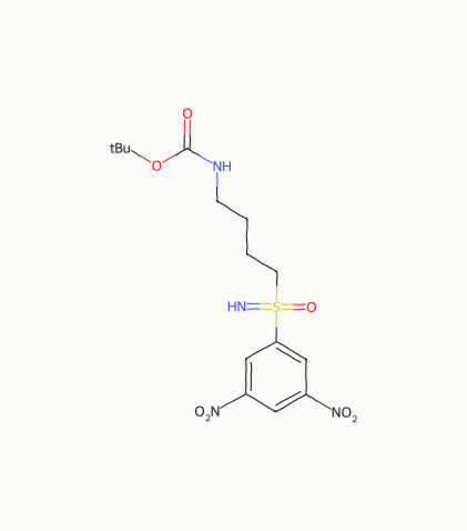 CC(C)(C)OC(=O)NCCCCS(=N)(=O)c1cc([N+](=O)[O-])cc([N+](=O)[O-])c1